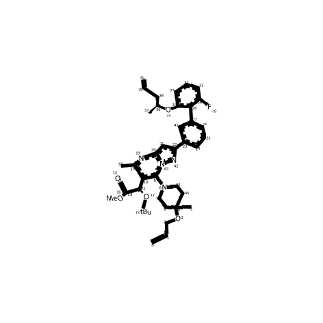 C=CCOC1(C)CCN(c2c([C@H](OC(C)(C)C)C(=O)OC)c(C)nc3cc(-c4cccc(-c5c(F)cccc5O[C@@H](C)CC=C)c4)nn23)CC1